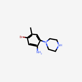 Cc1cc(N2CCNCC2)c(N)cc1Br